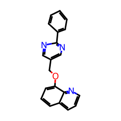 c1ccc(-c2ncc(COc3cccc4cccnc34)cn2)cc1